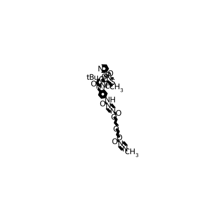 CN1CCN(C(=O)OCCOCCCOC(=O)N2CCN(C(=O)Nc3ccc(C[C@H](NC(=O)[C@H]4N(S(=O)(=O)c5cccnc5)CSC4(C)C)C(=O)CC(C)(C)C)cc3)CC2)CC1